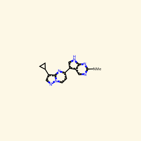 CNc1ncc2c(-c3ccn4ncc(C5CC5)c4n3)c[nH]c2n1